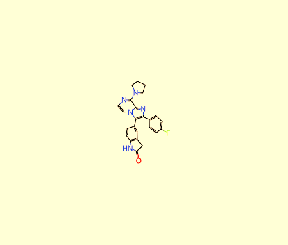 O=C1Cc2cc(-c3c(-c4ccc(F)cc4)nc4c(N5CCCC5)nccn34)ccc2N1